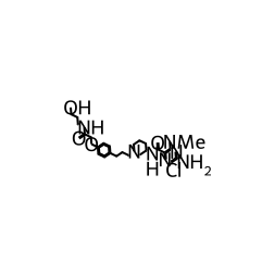 CNc1nc(N)c(Cl)nc1C(=O)NC1CCCN(CCCc2ccc(OCC(=O)NCCCO)cc2)C1